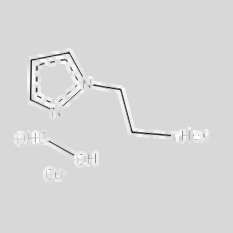 CCCCCCCCn1cccn1.O=CO.[Cu]